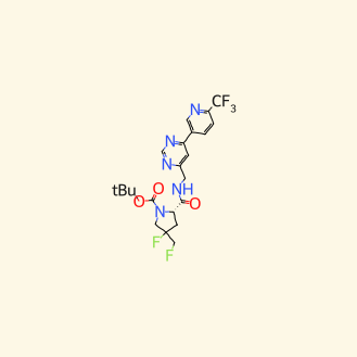 CC(C)(C)OC(=O)N1CC(F)(CF)C[C@H]1C(=O)NCc1cc(-c2ccc(C(F)(F)F)nc2)ncn1